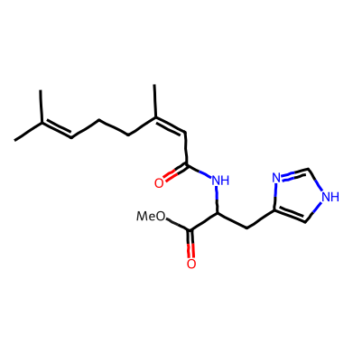 COC(=O)C(Cc1c[nH]cn1)NC(=O)C=C(C)CCC=C(C)C